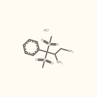 CS(=O)(=O)C(c1ccccc1)(C(N)CN)S(C)(=O)=O.Cl